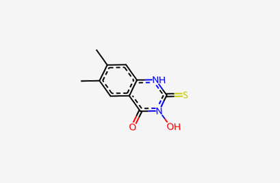 Cc1cc2[nH]c(=S)n(O)c(=O)c2cc1C